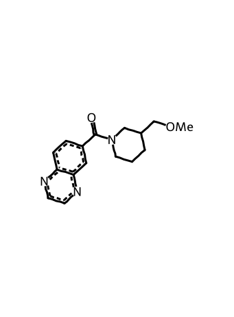 COCC1CCCN(C(=O)c2ccc3nccnc3c2)C1